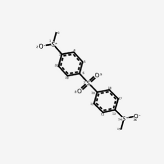 C[S+]([O-])c1ccc(S(=O)(=O)c2ccc([S+](C)[O-])cc2)cc1